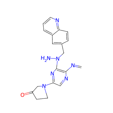 C=Nc1ncc(N2CCC(=O)C2)nc1N(N)Cc1ccc2ncccc2c1